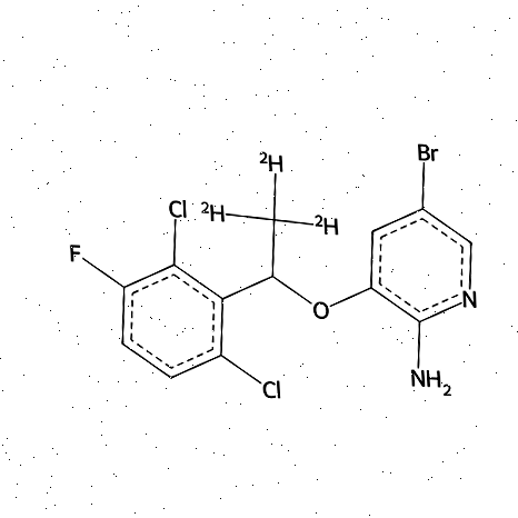 [2H]C([2H])([2H])C(Oc1cc(Br)cnc1N)c1c(Cl)ccc(F)c1Cl